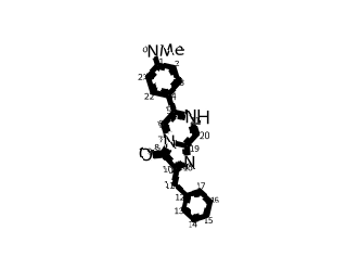 CNc1ccc(-c2cn3c(=O)c(Cc4ccccc4)nc-3c[nH]2)cc1